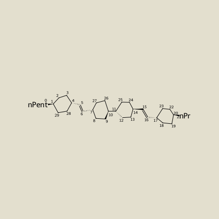 CCCCC[C@H]1CC[C@H](C=C[C@H]2CC[C@H]([C@H]3CC[C@H](C=C[C@H]4CC[C@H](CCC)CC4)CC3)CC2)CC1